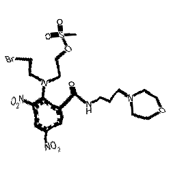 CS(=O)(=O)OCCN(CCBr)c1c(C(=O)NCCCN2CCOCC2)cc([N+](=O)[O-])cc1[N+](=O)[O-]